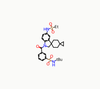 CCS(=O)(=O)Nc1ccc2c(c1)C1(CCC3(CC3)CC1)CN2C(=O)c1cccc(S(=O)(=O)NC(C)(C)C)c1